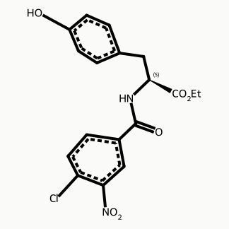 CCOC(=O)[C@H](Cc1ccc(O)cc1)NC(=O)c1ccc(Cl)c([N+](=O)[O-])c1